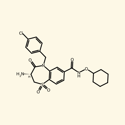 N[C@H]1CS(=O)(=O)c2ccc(C(=O)NOC3CCCCC3)cc2N(Cc2ccc(Cl)cc2)C1=O